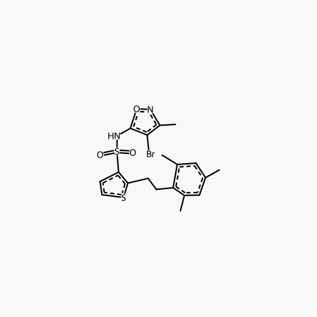 Cc1cc(C)c(CCc2sccc2S(=O)(=O)Nc2onc(C)c2Br)c(C)c1